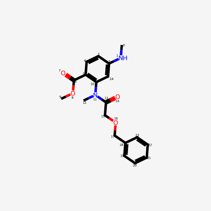 CNc1ccc(C(=O)OC)c(N(C)C(=O)COCc2ccccc2)c1